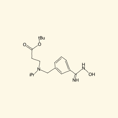 CC(C)N(CCC(=O)OC(C)(C)C)Cc1cccc(C(=N)NO)c1